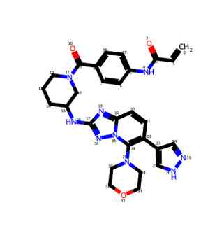 C=CC(=O)Nc1ccc(C(=O)N2CCCC(Nc3nc4ccc(-c5cn[nH]c5)c(N5CCOCC5)n4n3)C2)cc1